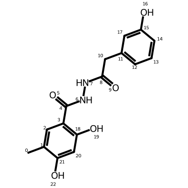 Cc1cc(C(=O)NNC(=O)Cc2cccc(O)c2)c(O)cc1O